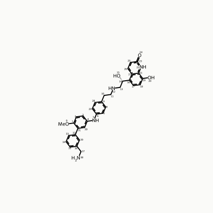 COc1ccc(Nc2ccc(CCNC[C@H](O)c3ccc(O)c4[nH]c(=O)ccc34)cc2)cc1-c1cccc(CN)c1